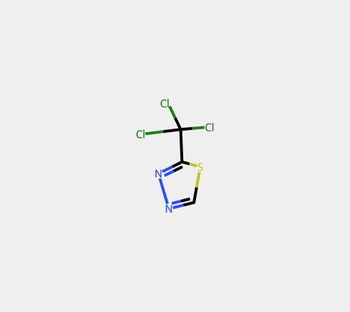 ClC(Cl)(Cl)c1nncs1